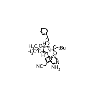 CC(C)(C)OC(=O)N1[C@H](COCc2ccccc2)[C@H]2OC(C)(C)O[C@H]2[C@@H]1c1cc(CC#N)c2c(N)ncnn12